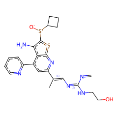 C=N/C(=N\C=C(/C)c1cc(-c2ccccn2)c2c(N)c([S+]([O-])C3CCC3)sc2n1)NCCO